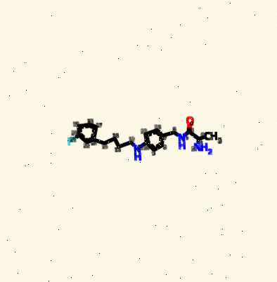 CC(N)C(=O)NCc1ccc(NCCCCc2cccc(F)c2)cc1